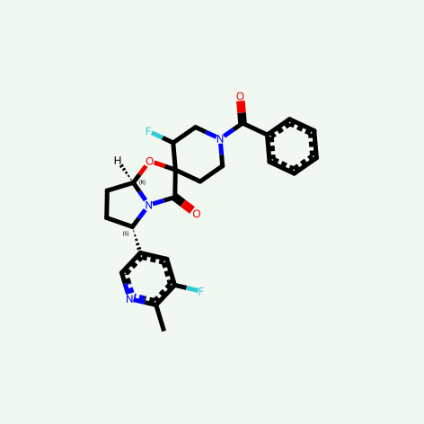 Cc1ncc([C@@H]2CC[C@H]3OC4(CCN(C(=O)c5ccccc5)CC4F)C(=O)N32)cc1F